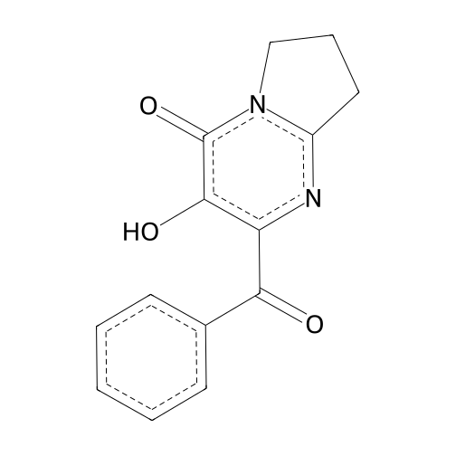 O=C(c1ccccc1)c1nc2n(c(=O)c1O)CCC2